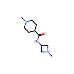 CN1CCC(C(=O)NC2CN(C)C2)CC1